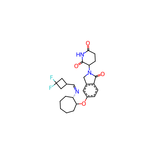 O=C1CCC(N2Cc3cc(OC4CCCCC[C@@H]4/N=C\C4CC(F)(F)C4)ccc3C2=O)C(=O)N1